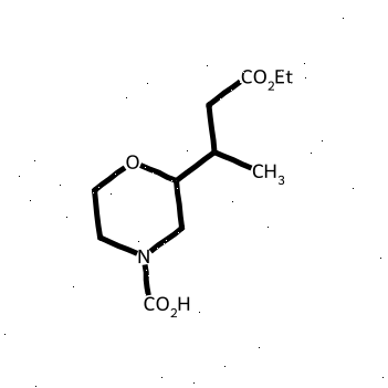 CCOC(=O)CC(C)C1CN(C(=O)O)CCO1